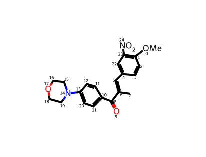 COc1ccc(/C=C(\C)C(=O)c2ccc(N3CCOCC3)cc2)cc1[N+](=O)[O-]